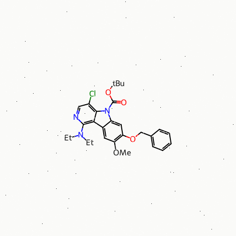 CCN(CC)c1ncc(Cl)c2c1c1cc(OC)c(OCc3ccccc3)cc1n2C(=O)OC(C)(C)C